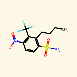 CCCCc1c(S(N)(=O)=O)ccc([N+](=O)[O-])c1C(F)(F)F